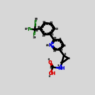 O=C(O)NC1CC1c1ccc(-c2cccc(C(F)(F)F)c2)nc1